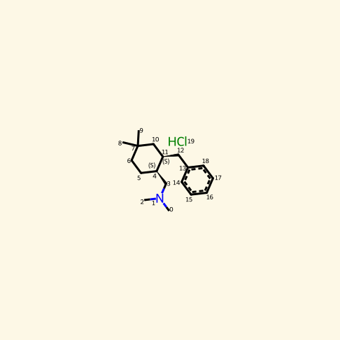 CN(C)C[C@H]1CCC(C)(C)C[C@H]1Cc1ccccc1.Cl